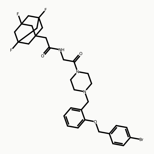 O=C(CC12CC3(F)CC(F)(CC(F)(C3)C1)C2)NCC(=O)N1CCN(Cc2ccccc2OCc2ccc(Br)cc2)CC1